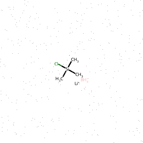 C[Si](C)(C)Cl.[BH4-].[Li+]